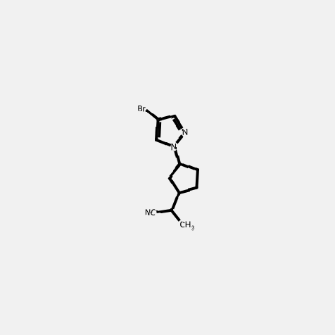 CC(C#N)C1CCC(n2cc(Br)cn2)C1